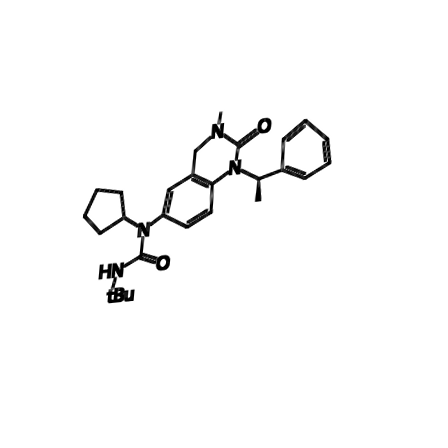 C[C@H](c1ccccc1)N1C(=O)N(C)Cc2cc(N(C(=O)NC(C)(C)C)C3CCCC3)ccc21